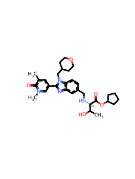 Cc1cc(-c2nc3cc(CN[C@H](C(=O)OC4CCCC4)C(C)O)ccc3n2CC2CCOCC2)cn(C)c1=O